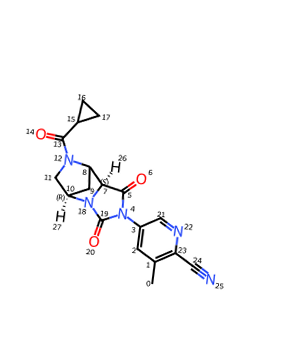 Cc1cc(N2C(=O)[C@@H]3C4C[C@H](CN4C(=O)C4CC4)N3C2=O)cnc1C#N